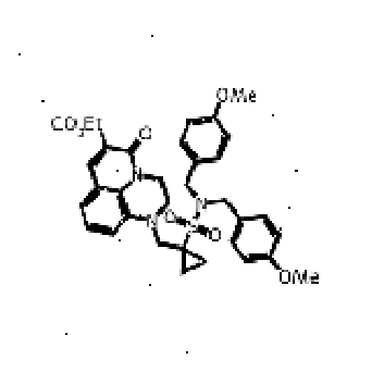 CCOC(=O)c1cc2cccc3c2n(c1=O)CCN3CC1(S(=O)(=O)N(Cc2ccc(OC)cc2)Cc2ccc(OC)cc2)CC1